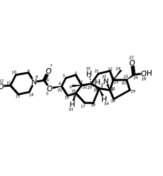 C[C@]12CC[C@H](OC(=O)N3CCC(O)CC3)C[C@H]1CC[C@@H]1[C@@H]2CC[C@]2(C)[C@@H](C(=O)O)CC[C@]12N